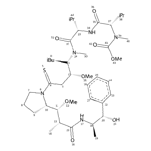 CC[C@H](C)[C@@H]([C@@H](CC(=S)N1CCC[C@H]1[C@H](OC)[C@@H](C)C(=O)N[C@H](C)[C@@H](O)c1ccccc1)OC)N(C)C(=O)[C@@H](NC(=O)[C@H](C(C)C)N(C)C(=O)OC)C(C)C